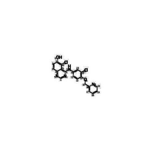 Oc1ccc2ncnc(Nc3ccc(OCc4ccccn4)c(Cl)c3)c2c1Cl